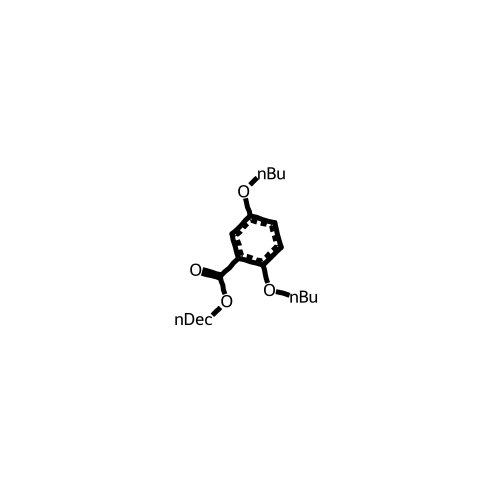 CCCCCCCCCCOC(=O)c1cc(OCCCC)ccc1OCCCC